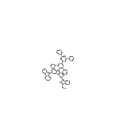 C/C=C\c1c(C)n(-c2ccc3c(c2)c2cc(-n4c5ccccc5c5ccccc54)ccc2n3-c2c(-c3ccccc3)cc(-c3cc(-c4ccccc4)nc(-c4ccccc4)n3)cc2-c2ccccc2)c2ccccc12